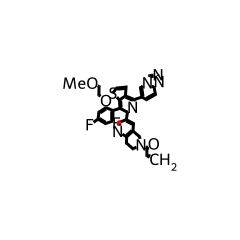 C=CC(=O)N1CCc2ncc(-c3nc(-c4ccc5nncn5c4)c4ccsc4c3-c3c(F)cc(F)cc3OCCOC)cc2C1